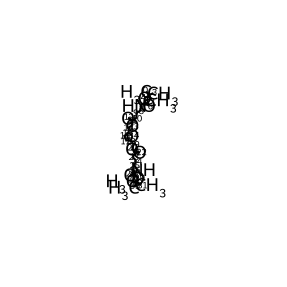 CC(C)(C)OC(=O)NCCCC(=O)OC[C@H]1CC[C@@H](COC(=O)CCCNC(=O)OC(C)(C)C)O1